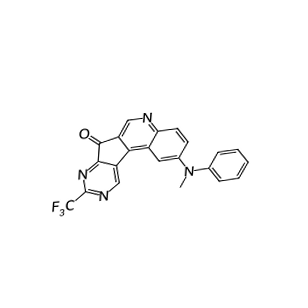 CN(c1ccccc1)c1ccc2ncc3c(c2c1)-c1cnc(C(F)(F)F)nc1C3=O